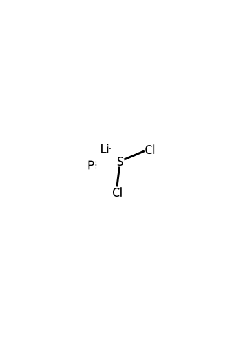 ClSCl.[Li].[P]